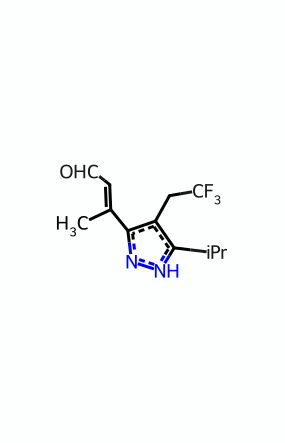 C/C(=C\C=O)c1n[nH]c(C(C)C)c1CC(F)(F)F